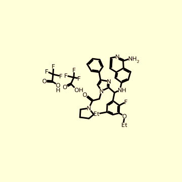 CCOc1cc(CC)cc(C(Nc2ccc3c(N)nccc3c2)c2nc(-c3ccccc3)cn2CC(=O)N2CCCC2)c1F.O=C(O)C(F)(F)F.O=C(O)C(F)(F)F